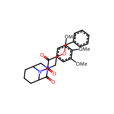 COc1cc(C(=O)C(=O)N2C3CCCC2C(=O)N(CCOCc2ccccc2)C3)cc(OC)c1OC